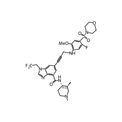 COc1cc(S(=O)(=O)N2CCOCC2)c(F)cc1NCC#Cc1cc(C(=O)N[C@H]2CCN(C)C[C@@H]2C)c2ncn(CC(F)(F)F)c2c1